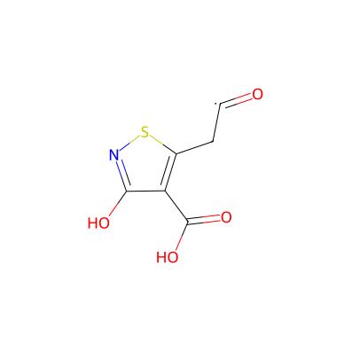 O=[C]Cc1snc(O)c1C(=O)O